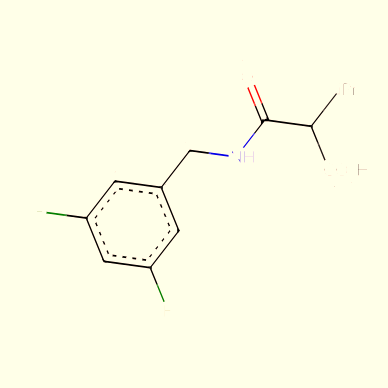 CC(C)C(C(=O)O)C(=O)NCc1cc(F)cc(F)c1